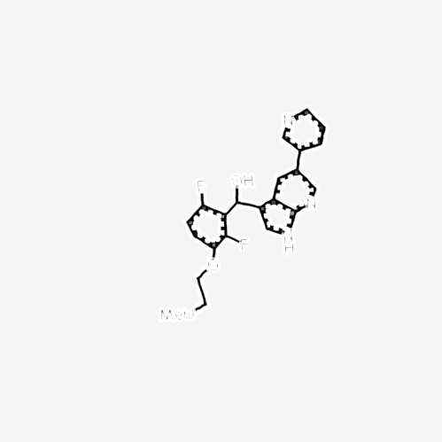 COCCOc1ccc(F)c(C(O)c2c[nH]c3ncc(-c4cccnc4)cc23)c1F